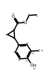 CCOC(=O)C1CC1c1ccc(O)c(I)c1